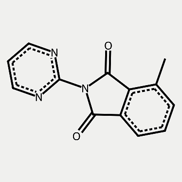 Cc1cccc2c1C(=O)N(c1ncccn1)C2=O